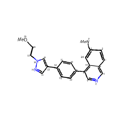 CNc1ccc2cncc(-c3ccc(-c4cnn(CCOC)c4)cc3)c2c1